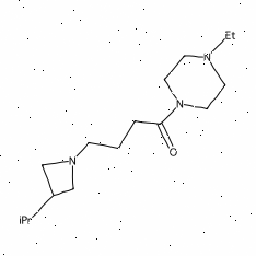 CCN1CCN(C(=O)CCCN2CC(C(C)C)C2)CC1